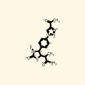 CC(=O)c1cn(-c2ccc(C3C(C(C)C(N)=O)OC(=O)N3F)cc2)nn1